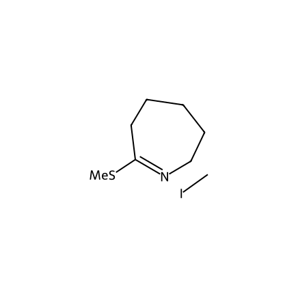 CI.CSC1=NCCCCC1